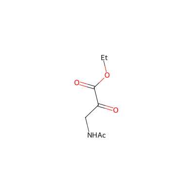 CCOC(=O)C(=O)CNC(C)=O